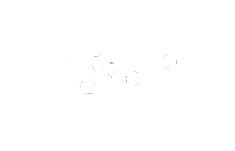 Cc1nc2cc(-c3cccc(OCc4cccc(Cl)c4)c3)nn2c(-c2cc(F)c3c(c2C)CCCO3)c1C(OC(C)(C)C)C(=O)O